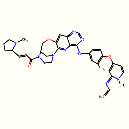 C=C/N=c1/cc(Oc2ccc(Nc3ncnc4cc5c(nc34)N3CCN(C(=O)/C=C/C4CCCN4C)C(CO5)C3)cc2C)ccn1C